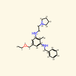 CCOCc1cc(NCCN2CCCC2)c(C)c(NCc2ccccc2)c1